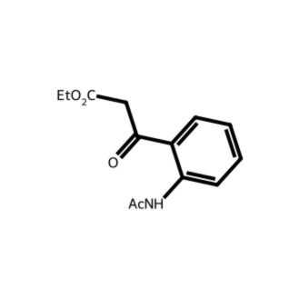 CCOC(=O)CC(=O)c1ccccc1NC(C)=O